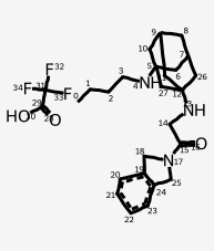 CCCCNC12CC3CC(C1)CC(NCC(=O)N1Cc4ccccc4C1)(C3)C2.O=C(O)C(F)(F)F